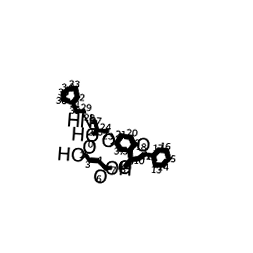 O=C(O)C=CC(=O)O.O=c1cc(-c2ccccc2)oc2ccc(OCC(O)CNCCc3ccccc3)cc12